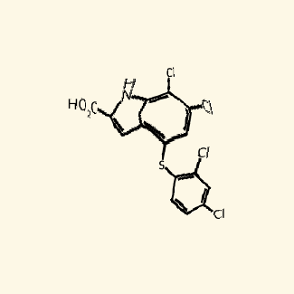 O=C(O)c1cc2c(Sc3ccc(Cl)cc3Cl)cc(Cl)c(Cl)c2[nH]1